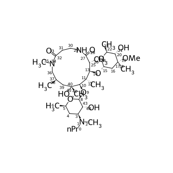 CCCN(C)[C@H]1C[C@@H](C)O[C@@H](O[C@@H]2[C@@H](C)[C@H](O[C@H]3C[C@@](C)(OC)[C@@H](O)[C@H](C)O3)[C@@H](C)C(=O)NCCC(=O)N(C)C[C@H](C)C[C@@]2(C)O)[C@@H]1O